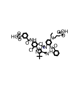 CCN(CCCS(=O)(=O)O)c1ccc(/N=N/c2c(C#N)c(C(C)(C)C)nn2-c2c(Cl)cc(NC(=O)c3cccc(S(=O)(=O)O)c3)cc2Cl)c(NC(=O)c2ccccc2)c1